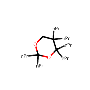 CCCC1(CCC)OCC(CCC)(CCC)C(CCC)(CCC)O1